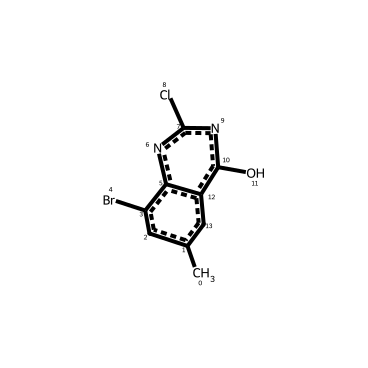 Cc1cc(Br)c2nc(Cl)nc(O)c2c1